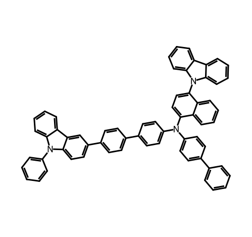 c1ccc(-c2ccc(N(c3ccc(-c4ccc(-c5ccc6c(c5)c5ccccc5n6-c5ccccc5)cc4)cc3)c3ccc(-n4c5ccccc5c5ccccc54)c4ccccc34)cc2)cc1